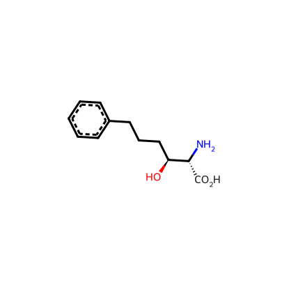 N[C@H](C(=O)O)[C@@H](O)CCCc1ccccc1